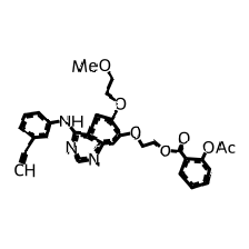 C#Cc1cccc(Nc2ncnc3cc(OCCOC(=O)c4ccccc4OC(C)=O)c(OCCOC)cc23)c1